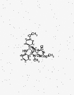 COc1ccc(CNc2ncccc2[C@@H](C)N(C)c2nc(SC)nc(Cl)c2C#N)cc1